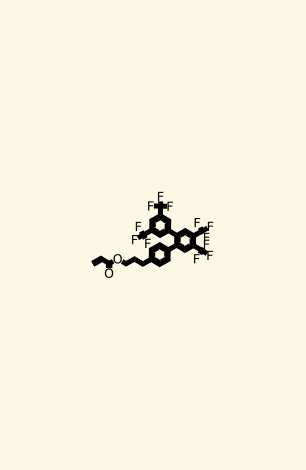 C=CC(=O)OCCCc1ccc(-c2cc(C(F)(F)F)c(C(F)(F)F)cc2-c2cc(C(F)(F)F)cc(C(F)(F)F)c2)cc1